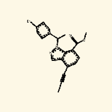 CC#Cc1ccc(C(=O)OC)c2c1cnn2C(C)c1ccc(Br)cc1